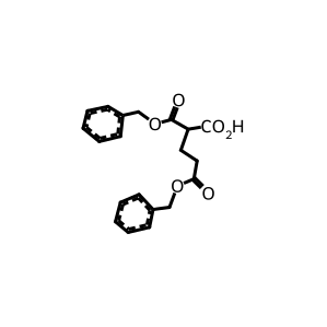 O=C(CCC(C(=O)O)C(=O)OCc1ccccc1)OCc1ccccc1